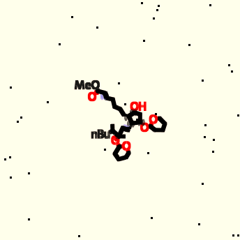 CCCCC(C)C(C)(/C=C/[C@@H]1[C@@H](CCCC/C=C/C(=O)OC)[C@@H](O)C[C@H]1OC1CCCCO1)OC1CCCCO1